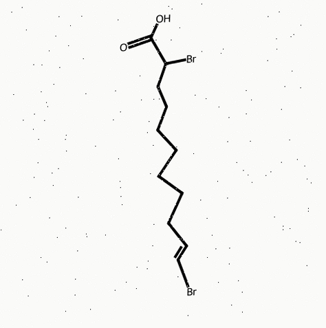 O=C(O)C(Br)CCCCCCCC=CBr